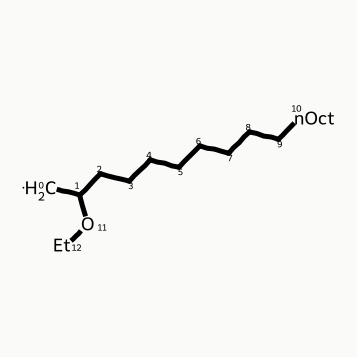 [CH2]C(CCCCCCCCCCCCCCCC)OCC